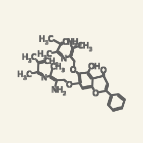 C=C(C)/C(C)=N\C(C)=C(/N)COc1cc2oc(-c3ccccc3)cc(=O)c2c(O)c1OCC(/N=C(/C)C(=C)C)=C(\C)N